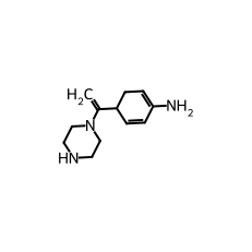 C=C(C1C=CC(N)=CC1)N1CCNCC1